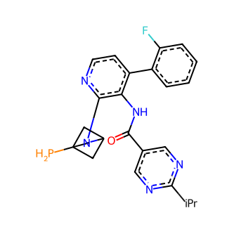 CC(C)c1ncc(C(=O)Nc2c(-c3ccccc3F)ccnc2N2CC3(P)CC2C3)cn1